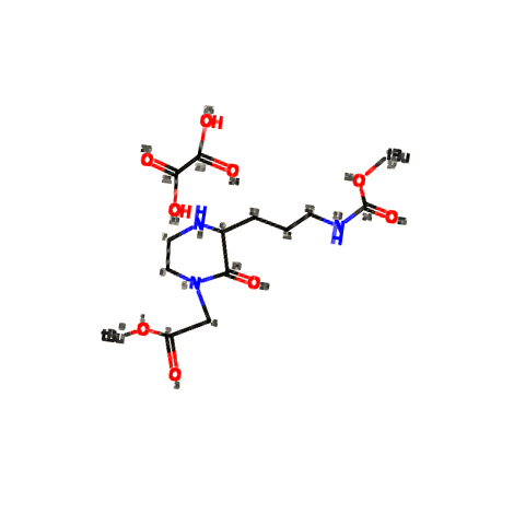 CC(C)(C)OC(=O)CN1CCNC(CCCNC(=O)OC(C)(C)C)C1=O.O=C(O)C(=O)O